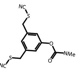 CNC(=O)Oc1cc(CSC#N)cc(CSC#N)c1